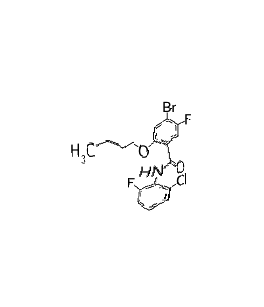 CCCCOc1cc(Br)c(F)cc1C(=O)Nc1c(F)cccc1Cl